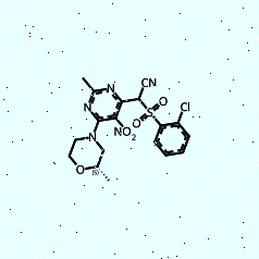 Cc1nc(C(C#N)S(=O)(=O)c2ccccc2Cl)c([N+](=O)[O-])c(N2CCO[C@@H](C)C2)n1